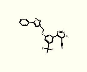 N#Cc1[nH]nnc1-c1cc(OCc2cc(-c3ccccc3)on2)cc(C(F)(F)F)c1